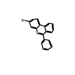 Brc1ccc2c(c1)nc(-c1ccccc1)c1ccccc12